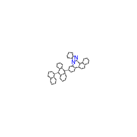 c1ccc2c(-c3c4ccccc4c(-c4ccc5c6ccc7ccccc7c6c6nc7ccccc7n6c5c4)c4ccccc34)cccc2c1